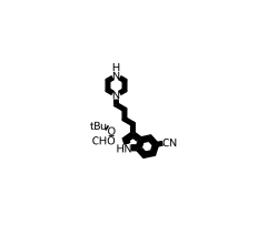 CC(C)(C)OC=O.N#Cc1ccc2[nH]cc(CCCCN3CCNCC3)c2c1